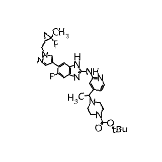 CC(c1ccnc(Nc2nc3cc(F)c(-c4cnn(CC5CC5(C)F)c4)cc3[nH]2)c1)N1CCN(C(=O)OC(C)(C)C)CC1